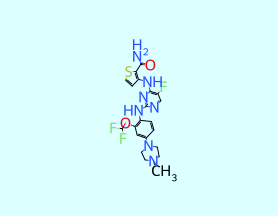 CN1CCN(c2ccc(Nc3ncc(F)c(Nc4ccsc4C(N)=O)n3)c(OC(F)F)c2)CC1